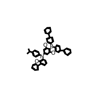 CC(C)c1ccc(N(c2cc3c4c(c2)Oc2cc(-c5ccccc5)ccc2B4c2ccc(-c4ccccc4)cc2O3)c2cccc3c2oc2ccccc23)cc1